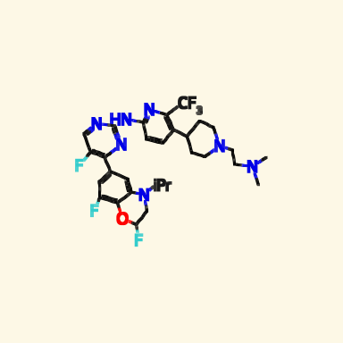 CC(C)N1CC(F)Oc2c(F)cc(-c3nc(Nc4ccc(C5CCN(CCN(C)C)CC5)c(C(F)(F)F)n4)ncc3F)cc21